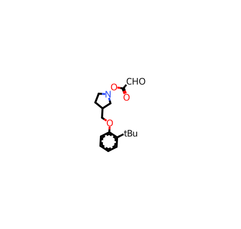 CC(C)(C)c1ccccc1OCC1CCN(OC(=O)C=O)C1